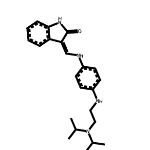 CC(C)N(CCNc1ccc(NC=C2C(=O)Nc3ccccc32)cc1)C(C)C